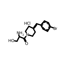 Cl.NC(CO)C(=O)N1CCC(=Cc2ccc(Br)cc2)CC1